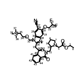 CCOC(=O)CN1CCCC1Cn1nc(Cc2nc3cc(OCC(F)F)c(C#N)cc3n2COCC[Si](C)(C)C)c2ccccc2c1=O